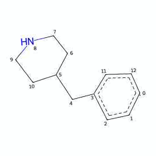 [c]1ccc(CC2CCNCC2)cc1